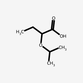 CCC(OC(C)C)C(=O)O